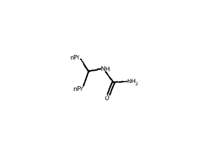 CCCC(CCC)NC(N)=O